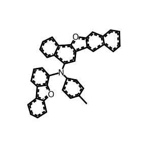 Cc1ccc(N(c2cc3c4cc5ccccc5cc4oc3c3ccccc23)c2cccc3c2oc2ccccc23)cc1